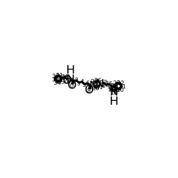 O=C(CCCCCC(=O)N1CCN(CCCc2c[nH]c3ccccc23)CC1)NOCc1ccccc1